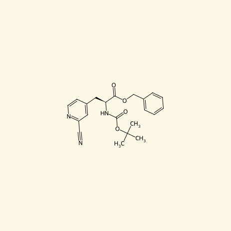 CC(C)(C)OC(=O)N[C@@H](Cc1ccnc(C#N)c1)C(=O)OCc1ccccc1